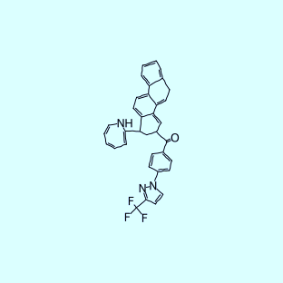 O=C(c1ccc(-n2ccc(C(F)(F)F)n2)cc1)C1C=c2c(ccc3c2=CCc2ccccc2-3)C(C2=CC=CC=CN2)C1